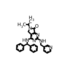 CC(C)N1Cc2c(NC(c3ccccc3)c3ccccc3)nc(NCc3cccnc3)nc2C1=O